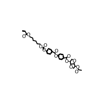 C=CC(=O)OCCCCCCOC(=O)Oc1ccc(C(=O)Oc2ccc(C(=O)O[C@H]3COC4C(OC(C)=O)COC43)cc2)cc1